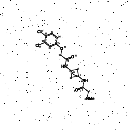 CNCC(=O)NC12CC(NC(=O)COc3ccc(Cl)c(Cl)c3)(C1)C2